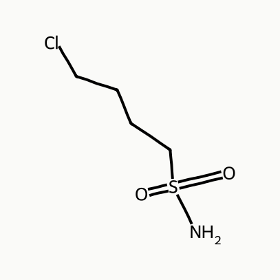 NS(=O)(=O)CCCCCl